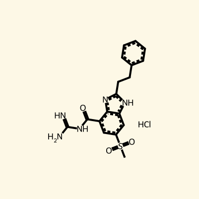 CS(=O)(=O)c1cc(C(=O)NC(=N)N)c2nc(CCc3ccccc3)[nH]c2c1.Cl